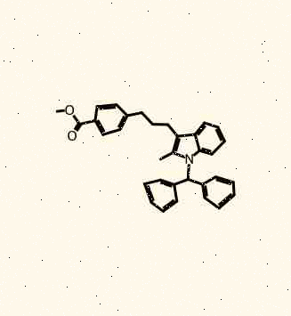 COC(=O)c1ccc(CCCc2c(C)n(C(c3ccccc3)c3ccccc3)c3ccccc23)cc1